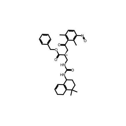 Cc1ccc(N=O)c(C)c1C(=O)C[C@@H](CNC(=O)NC1CCC(C)(C)C2=C1C=CCC2)C(=O)OCc1ccccc1